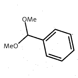 COC(OC)c1c[c]ccc1